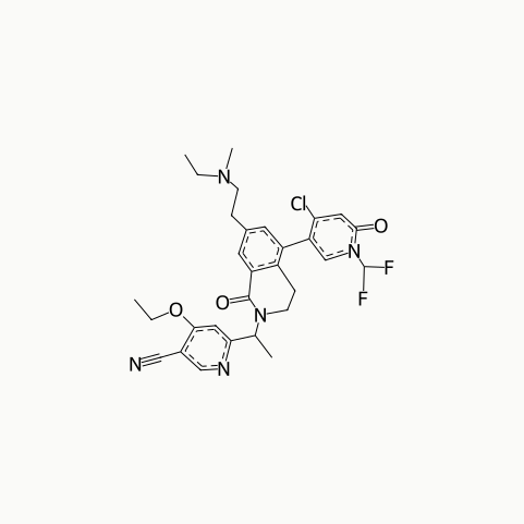 CCOc1cc(C(C)N2CCc3c(cc(CCN(C)CC)cc3-c3cn(C(F)F)c(=O)cc3Cl)C2=O)ncc1C#N